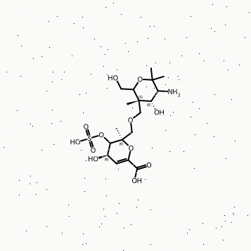 CC1(C)OC(CO)[C@@](C)(COC[C@@]2(C)OC(C(=O)O)=C[C@@H](O)C2OS(=O)(=O)O)[C@@H](O)C1N